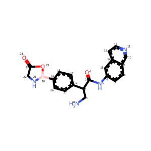 NCC(C(=O)Nc1ccc2cnccc2c1)c1ccc(B2NCC(=O)O2)cc1